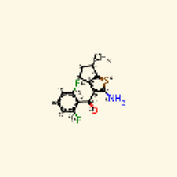 CC1CCc2c1sc(N)c2C(=O)c1c(F)cccc1F